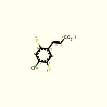 O=C(O)/C=C/c1cc(F)c(Cl)cc1F